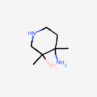 BC1(C)CNCCC1(C)N